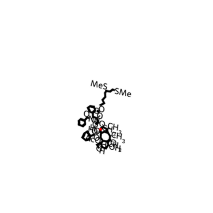 CSCCC(CCCCCOC(=O)O[C@@H](C(=O)O[C@H]1C[C@@]2(O)[C@@H](OC(=O)c3ccccc3)[C@@H]3[C@]4(OC(C)=O)CO[C@@H]4C[C@H](O)[C@@]3(C)C(=O)[C@H](C)C(=C1C)C2(C)C)[C@@H](NC(=O)c1ccccc1)c1ccccc1)SC